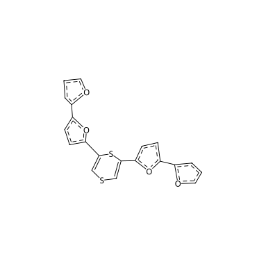 C1=C(c2ccc(-c3ccco3)o2)SC(c2ccc(-c3ccco3)o2)=CS1